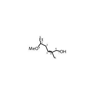 CCC(CC=C(C)CO)OC